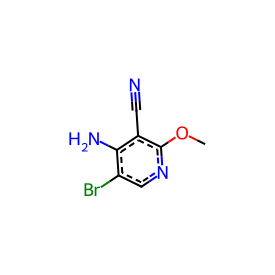 COc1ncc(Br)c(N)c1C#N